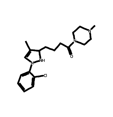 CC1=CN(c2ccccc2Cl)NC1CCCC(=O)N1CCN(C)CC1